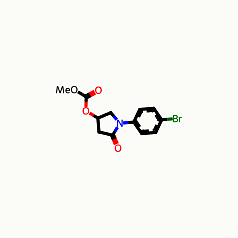 COC(=O)OC1CC(=O)N(c2ccc(Br)cc2)C1